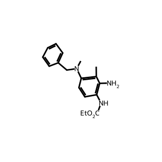 CCOC(=O)Nc1ccc(N(C)Cc2ccccc2)c(C)c1N